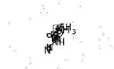 CONC(=O)c1cn(C2CCCCC2)c2nc(NCCCn3ccnc3)ncc2c1=O